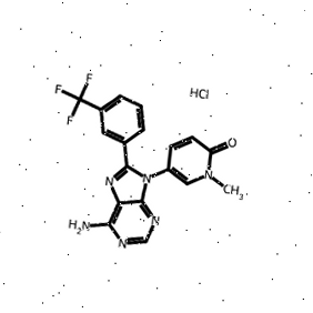 Cl.Cn1cc(-n2c(-c3cccc(C(F)(F)F)c3)nc3c(N)ncnc32)ccc1=O